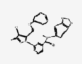 Cc1nn(-c2cccc(C(=O)N(C)c3ccc4c(c3)OCO4)c2)c(COc2ccccc2)c1Cl